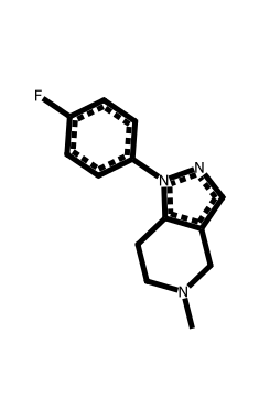 CN1CCc2c(cnn2-c2ccc(F)cc2)C1